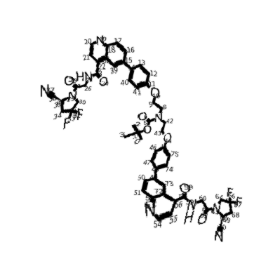 CC(C)(C)OC(=O)N(CCOc1ccc(-c2ccc3nccc(C(=O)NCC(=O)N4CC(F)(F)C[C@H]4C#N)c3c2)cc1)CCOc1ccc(-c2ccc3nccc(C(=O)NCC(=O)N4CC(F)(F)C[C@H]4C#N)c3c2)cc1